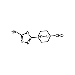 CC(C)(C)c1nnc(C23CCC(C=O)(CC2)CC3)o1